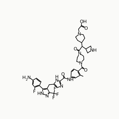 Cc1cc(NC(=O)c2ncc(Cc3c(C(F)(F)F)n[nH]c3-c3ccc(N)cc3F)[nH]2)ccc1C(=O)N1CCN(C(=O)C(C2CCN(CC(=O)O)CC2)C2CNC2)CC1